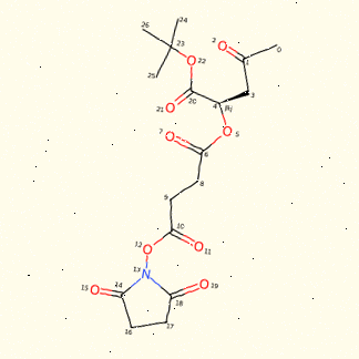 CC(=O)C[C@@H](OC(=O)CCC(=O)ON1C(=O)CCC1=O)C(=O)OC(C)(C)C